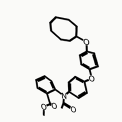 COC(=O)c1ccccc1N(C(C)=O)c1ccc(Oc2ccc(OC3CCCCCCC3)cc2)cc1